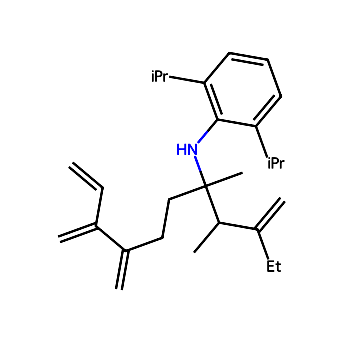 C=CC(=C)C(=C)CCC(C)(Nc1c(C(C)C)cccc1C(C)C)C(C)C(=C)CC